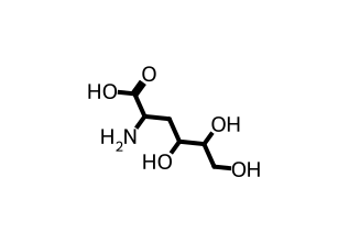 NC(CC(O)C(O)CO)C(=O)O